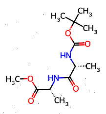 COC(=O)[C@@H](C)NC(=O)[C@@H](C)NC(=O)OC(C)(C)C